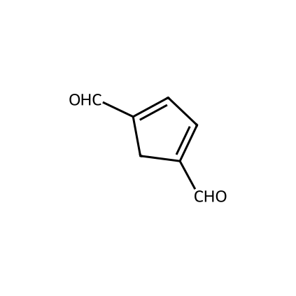 O=CC1=CC=C(C=O)C1